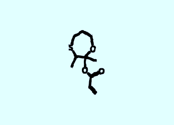 C=CC(=O)OC1(C)OCCCSC1C